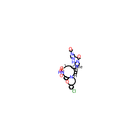 CO[C@]1(CN2CCN(C3COC3C3CN(C4COC4)CCN3)CC2)/C=C/C[C@H](C)[C@@H](C)S(=O)(=O)NC(=O)c2ccc3c(c2)N(CCCCc2cc(Cl)ccc2CO3)C[C@@H]2CC[C@H]21